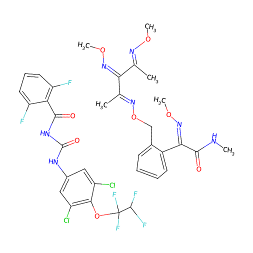 CNC(=O)/C(=N/OC)c1ccccc1CO/N=C(C)/C(=N/OC)C(/C)=N/OC.O=C(NC(=O)c1c(F)cccc1F)Nc1cc(Cl)c(OC(F)(F)C(F)F)c(Cl)c1